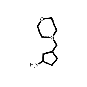 NC1CCC(CN2CCOCC2)C1